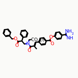 CCOC(=O)CN(CC(C(=O)OCc1ccccc1)c1ccccc1)C(=O)C(C)=Cc1ccc(C(=O)Oc2ccc(C(=N)N)cc2)cc1